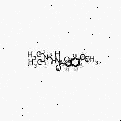 CCN(CC)CCNC(=O)c1cc2ccc(OC)cc2o1